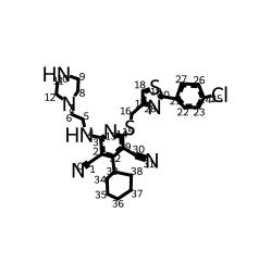 N#Cc1c(NCCN2CCNCC2)nc(SCc2csc(-c3ccc(Cl)cc3)n2)c(C#N)c1C1CCCCC1